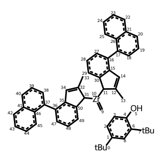 CC(C)(C)c1ccc(O)c(C(C)(C)C)c1.[CH2]=[Zr]([CH]1C(C)=Cc2c(-c3cccc4ccccc34)cccc21)[CH]1C(C)=Cc2c(-c3cccc4ccccc34)cccc21